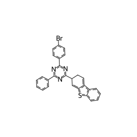 Brc1ccc(-c2nc(-c3ccccc3)nc(C3C=c4sc5ccccc5c4=CC3)n2)cc1